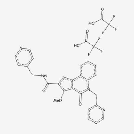 COc1c(C(=O)NCc2ccncc2)sc2c1c(=O)n(Cc1ccccn1)c1ccccc21.O=C(O)C(F)(F)F.O=C(O)C(F)(F)F